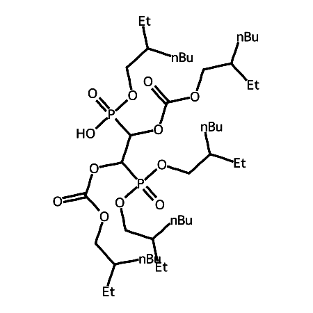 CCCCC(CC)COC(=O)OC(C(OC(=O)OCC(CC)CCCC)P(=O)(OCC(CC)CCCC)OCC(CC)CCCC)P(=O)(O)OCC(CC)CCCC